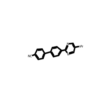 CCCc1cnc(-c2ccc(-c3ccc(C#N)cc3)cc2)nc1